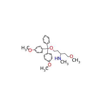 CNC(CCOC)CCOC(c1ccccc1)(c1ccc(OC)cc1)c1ccc(OC)cc1